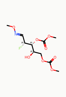 CON=C[C@@H](F)[C@H](OC(=O)OC)[C@H](O)COC(=O)OC